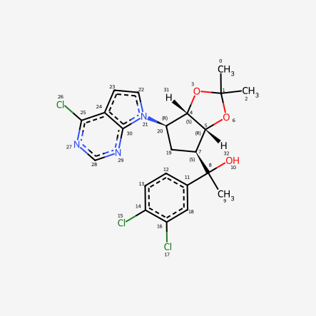 CC1(C)O[C@@H]2[C@H](O1)[C@@H](C(C)(O)c1ccc(Cl)c(Cl)c1)C[C@H]2n1ccc2c(Cl)ncnc21